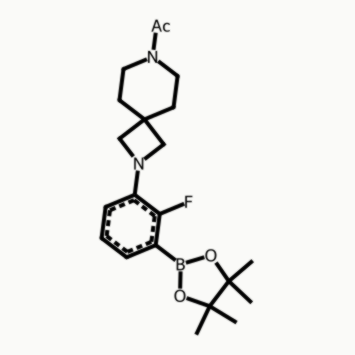 CC(=O)N1CCC2(CC1)CN(c1cccc(B3OC(C)(C)C(C)(C)O3)c1F)C2